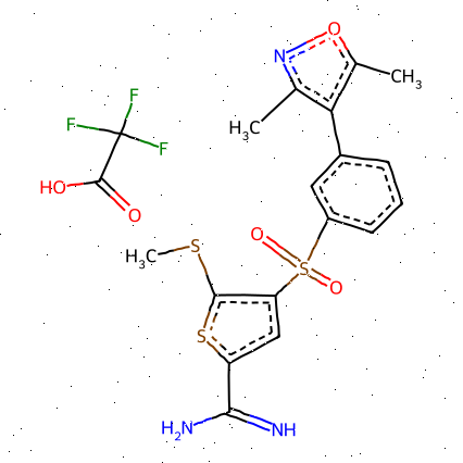 CSc1sc(C(=N)N)cc1S(=O)(=O)c1cccc(-c2c(C)noc2C)c1.O=C(O)C(F)(F)F